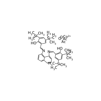 CC(=O)[O-].CC(=O)[O-].C[Si](C)(C)c1cc(C=Nc2cccc3cccc(N=Cc4cc([Si](C)(C)C)cc([Si](C)(C)C)c4O)c23)c(O)c([Si](C)(C)C)c1.[Co+2]